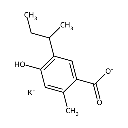 CCC(C)c1cc(C(=O)[O-])c(C)cc1O.[K+]